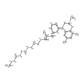 CN1Cc2c(Cl)cc(Cl)cc2C(c2cccc(NC(=O)NCCOCCOCCOCCN)c2)C1